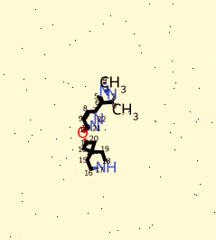 Cc1nn(C)cc1-c1ccc(OC2CC3(CCNCC3)C2)nn1